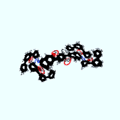 N#Cc1c2oc3cc4cc(N(c5cccc6c5oc5c(-c7ccccc7)cccc56)c5cccc6c5oc5c(-c7ccccc7)cccc56)ccc4cc3c2cc2oc3cc4cc(N(c5cccc6c5oc5c(-c7ccccc7)cccc56)c5cccc6c5oc5c(-c7ccccc7)cccc56)ccc4cc3c12